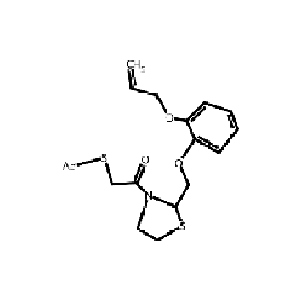 C=CCOc1ccccc1OCC1SCCN1C(=O)CSC(C)=O